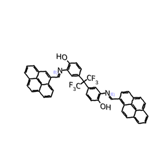 Oc1ccc(C(c2ccc(O)c(/N=C/c3cc4cccc5ccc6cccc3c6c54)c2)(C(F)(F)F)C(F)(F)F)cc1/N=C/c1ccc2ccc3cccc4ccc1c2c34